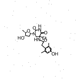 CCC1(NC(=O)Cc2c(C)cc(O)cc2C)CN([C@H]2C[C@H](O)[C@@H](C)O2)C(=O)NC1=O